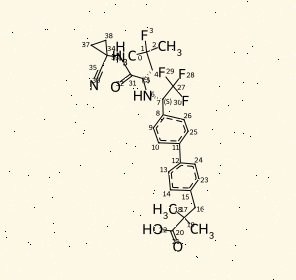 CC(C)(F)C[C@H](N[C@@H](c1ccc(-c2ccc(CC(C)(C)C(=O)O)cc2)cc1)C(F)(F)F)C(=O)NC1(C#N)CC1